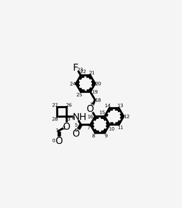 O=COC1(NC(=O)c2ccc3ccccc3c2OCc2ccc(F)cc2)CCC1